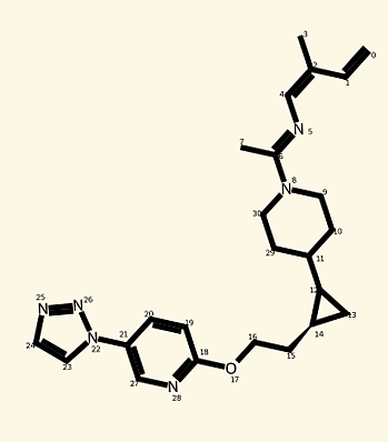 C=C/C(C)=C\N=C(/C)N1CCC(C2C[C@H]2CCOc2ccc(-n3ccnn3)cn2)CC1